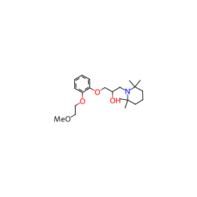 COCCOc1ccccc1OCC(O)CN1C(C)(C)CCCC1(C)C